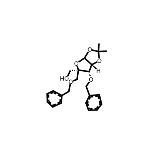 CC1(C)OC2O[C@](CO)(COCc3ccccc3)[C@@H](OCc3ccccc3)[C@H]2O1